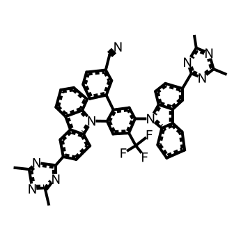 Cc1nc(C)nc(-c2ccc3c(c2)c2ccccc2n3-c2cc(C(F)(F)F)c(-n3c4ccccc4c4cc(-c5nc(C)nc(C)n5)ccc43)cc2-c2cccc(C#N)c2)n1